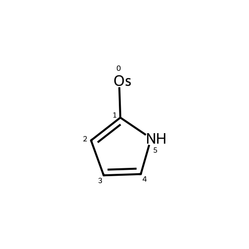 [Os][c]1ccc[nH]1